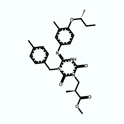 CC[C@@H](C)Oc1ccc(/N=c2\[nH]c(=O)n(C[C@H](C)C(=O)OC)c(=O)n2Cc2ccc(C)cc2)cc1C